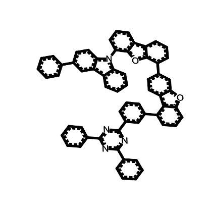 c1ccc(-c2ccc3c(c2)c2ccccc2n3-c2cccc3c2oc2c(-c4ccc5c(c4)oc4cccc(-c6cccc(-c7nc(-c8ccccc8)nc(-c8ccccc8)n7)c6)c45)cccc23)cc1